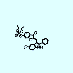 CCOP(=O)(OCC)Oc1ccc2c(c1)O/C(=C\c1c(-c3ccccc3)[nH]c3ccc(OC)cc13)C2=O